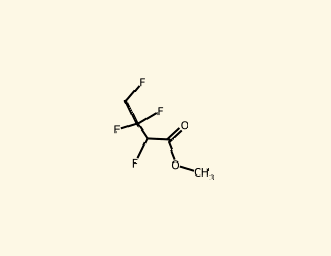 COC(=O)C(F)C(F)(F)CF